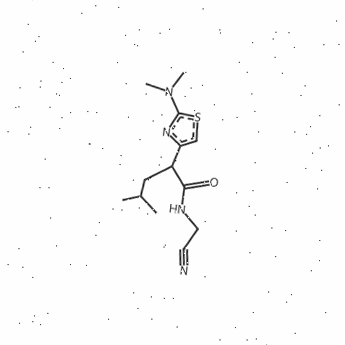 CC(C)CC(C(=O)NCC#N)c1csc(N(C)C)n1